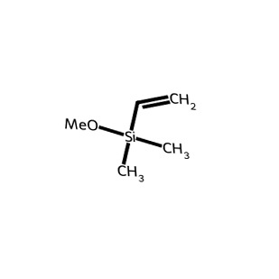 [CH2]O[Si](C)(C)C=C